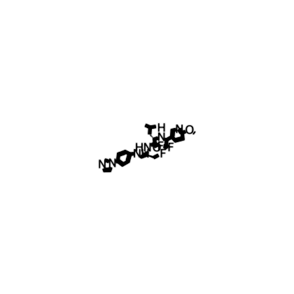 CC[C@@H](CNc1ccc(-n2ccnc2)cc1)NC(=O)[C@H](CC(C)C)N[C@@H](c1ccc(OC)nc1)C(F)(F)F